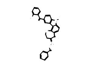 CCn1c2ccc(C(=O)c3ccccc3C)cc2c2c3c(ccc21)C(=O)/C(=N/OC(=O)c1ccccc1)CCO3